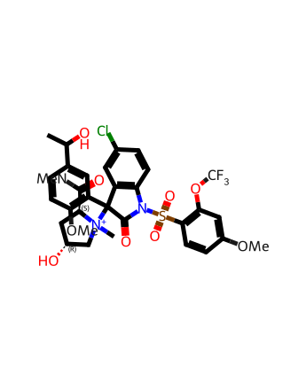 CNC(=O)[C@@H]1C[C@@H](O)C[N+]1(C)C1(c2cc(C(C)O)ccc2OC)C(=O)N(S(=O)(=O)c2ccc(OC)cc2OC(F)(F)F)c2ccc(Cl)cc21